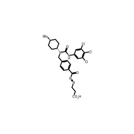 CC(C)(C)[C@H]1CC[C@H](N(Cc2ccc(C(=O)/N=N/CCC(=O)O)cc2)C(=O)Nc2cc(Cl)c(Cl)c(Cl)c2)CC1